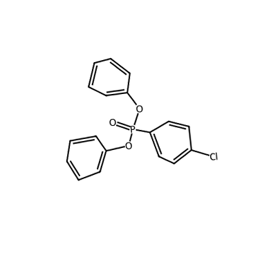 O=P(Oc1ccccc1)(Oc1ccccc1)c1ccc(Cl)cc1